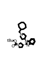 CC(C)(C)OC(=O)N1CC[C@@H](c2nc3ccccc3n2C2CCN(CC3CCCCCCC3)CC2)C1